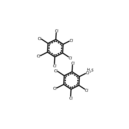 Clc1c(Cl)c(Cl)c(Cl)c(Cl)c1Cl.Clc1c(Cl)c(Cl)c(Cl)c(Cl)c1Cl.S